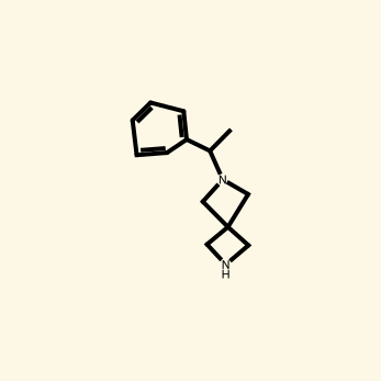 CC(c1ccccc1)N1CC2(CNC2)C1